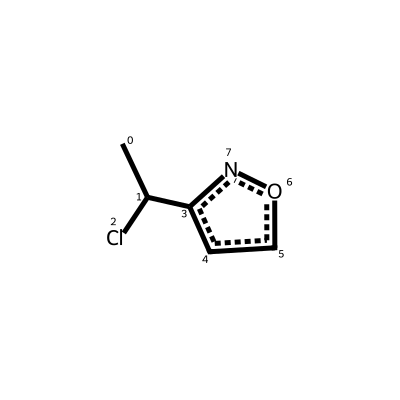 CC(Cl)c1ccon1